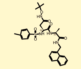 Cc1ccc(S(=O)(=O)N[C@@H](CC(=O)NOC(C)(C)C)C(=O)N[C@@H](C)C(=O)NCc2cccc3ccccc23)cc1